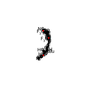 Cc1ncsc1-c1ccc([C@H](C)NC(=O)[C@@H]2C[C@@H](O)CN2C(=O)[C@@H](CNC(=O)COCCCCOc2ccc(-c3ncc(N4C(=S)N(c5ccc(C#N)c(C(F)(F)F)c5F)C(=O)C4(C)C)cc3F)c(C(F)(F)F)c2)C(C)(C)C)cc1